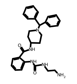 NCCNC(=O)Nc1ccccc1C(=O)NC1CCN(C(c2ccccc2)c2ccccc2)CC1